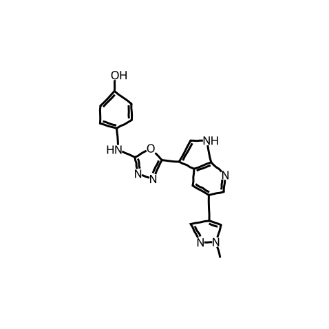 Cn1cc(-c2cnc3[nH]cc(-c4nnc(Nc5ccc(O)cc5)o4)c3c2)cn1